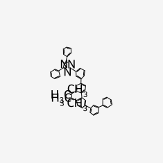 CC1(C)c2ccc(-c3cccc(-c4ccccc4)c3)cc2-c2ccc(-c3cccc(-c4nc(-c5ccccc5)nc(-c5ccccc5)n4)c3)cc2C1(C)C